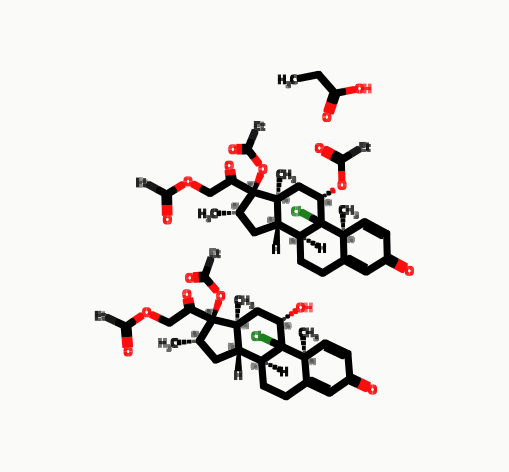 CCC(=O)O.CCC(=O)OCC(=O)[C@@]1(OC(=O)CC)[C@@H](C)C[C@H]2[C@@H]3CCC4=CC(=O)C=C[C@]4(C)C3(Cl)[C@@H](O)C[C@@]21C.CCC(=O)OCC(=O)[C@@]1(OC(=O)CC)[C@@H](C)C[C@H]2[C@@H]3CCC4=CC(=O)C=C[C@]4(C)C3(Cl)[C@@H](OC(=O)CC)C[C@@]21C